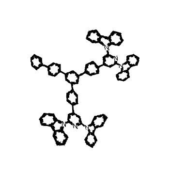 c1ccc(-c2ccc(-c3cc(-c4ccc(-c5cc(-n6c7ccccc7c7ccccc76)nc(-n6c7ccccc7c7ccccc76)c5)cc4)cc(-c4ccc(-c5cc(-n6c7ccccc7c7ccccc76)nc(-n6c7ccccc7c7ccccc76)c5)cc4)c3)cc2)cc1